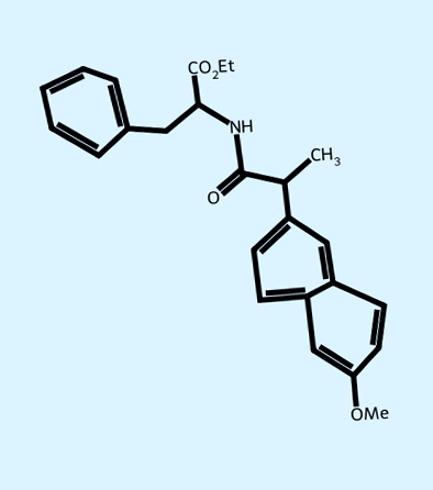 CCOC(=O)C(Cc1ccccc1)NC(=O)C(C)c1ccc2cc(OC)ccc2c1